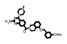 COc1cccc(COc2cccc3c2CCN(C(=O)c2ccc4c(N5CCN(C)CC5)nc(N)nc4c2)C3)c1